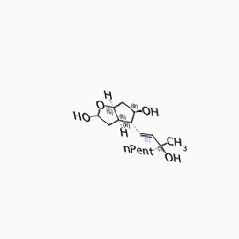 CCCCC[C@](C)(O)/C=C/[C@@H]1[C@H]2CC(O)O[C@H]2C[C@H]1O